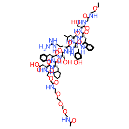 CCOCCNC(=O)CNC(=O)[C@H](CO)NC(=O)[C@H](Cc1c[nH]c2ccccc12)NC(=O)[C@H](CC(C)C)NC(=O)[C@H](Cc1ccc(O)cc1)NC(=O)[C@@H](CCCNC(=N)N)NC(=O)[C@@H](CO)NC(=O)[C@H](Cc1ccccc1)NC(=O)[C@H](CC1CCCCC1)NC(=O)[C@H](CC(=O)O)NC(=O)COCC(=O)NCCOCCOCCOCCNC(C)=O